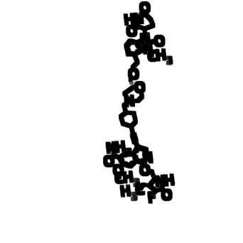 CC[C@@H]1[C@H](F)C(=O)N[C@@H]1COc1ncc(C#CC2CCC(CN3CCO[C@@H](COCCc4cccc5c4n(C)c(=O)n5C4CCC(=O)NC4=O)C3)CC2)c2cc(C(N)=O)c(OC)cc12